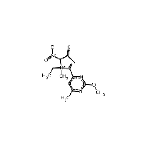 CC[N+]1(C)C(c2cc(C)nc(OC)n2)=NC(=S)C1[N+](=O)[O-]